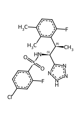 Cc1ccc(F)c([C@@H](C)[C@H](NS(=O)(=O)c2ccc(Cl)cc2F)c2nn[nH]n2)c1C